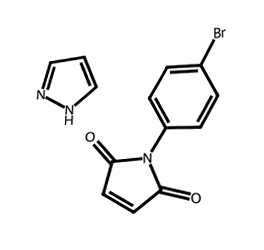 O=C1C=CC(=O)N1c1ccc(Br)cc1.c1cn[nH]c1